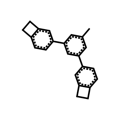 Cc1cc(-c2ccc3c(c2)CC3)cc(-c2ccc3c(c2)CC3)c1